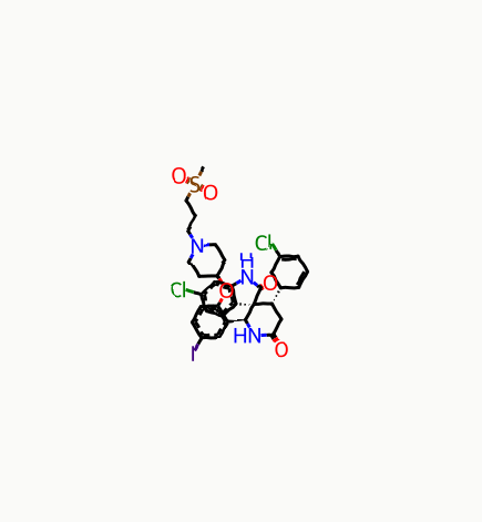 CS(=O)(=O)CCCN1CCC(Oc2ccc(I)cc2[C@@H]2NC(=O)C[C@@H](C3C=CC=C(Cl)C3)[C@]23C(=O)Nc2cc(Cl)ccc23)CC1